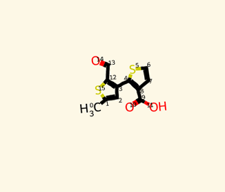 Cc1cc(-c2sccc2C(=O)O)c(C=O)s1